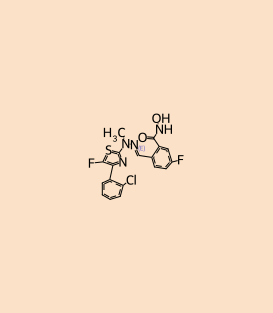 CN(/N=C/c1ccc(F)cc1C(=O)NO)c1nc(-c2ccccc2Cl)c(F)s1